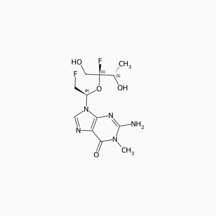 C[C@H](O)[C@@](F)(CO)O[C@H](CF)n1cnc2c(=O)n(C)c(N)nc21